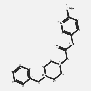 COc1ccc(NC(=O)CN2CCN(Cc3ccccc3)CC2)cn1